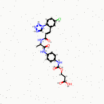 CC(NC(=O)C=Cc1cc(Cl)ccc1-n1cnnn1)C(=O)Nc1ccc(NC(=O)OCCC(=O)O)cc1